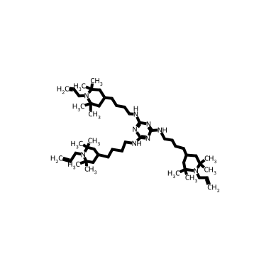 C=CCN1C(C)(C)CC(CCCCNc2nc(NCCCCC3CC(C)(C)N(CC=C)C(C)(C)C3)nc(NCCCCC3CC(C)(C)N(CC=C)C(C)(C)C3)n2)CC1(C)C